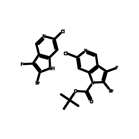 CC(C)(C)OC(=O)n1c(Br)c(F)c2cnc(Cl)cc21.Fc1c(Br)[nH]c2cc(Cl)ncc12